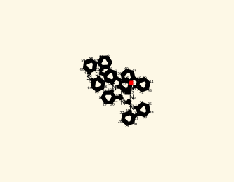 c1ccc([Si]2(c3ccc4c5ccccc5n(-c5ccccc5-c5nc(-n6c7ccccc7c7ccccc76)nc(-n6c7ccccc7c7ccccc76)n5)c4c3)c3ccccc3Sc3ccccc32)cc1